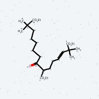 CCOC(=O)C(CCC=CC(C)(C)C(=O)OCC)C(=O)CCCCCC(C)(C)C(=O)OCC